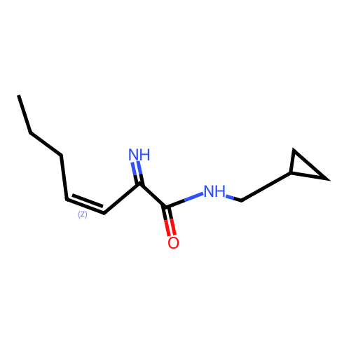 CCC/C=C\C(=N)C(=O)NCC1CC1